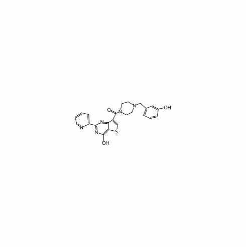 O=C(c1csc2c(O)nc(-c3ccccn3)nc12)N1CCN(Cc2cccc(O)c2)CC1